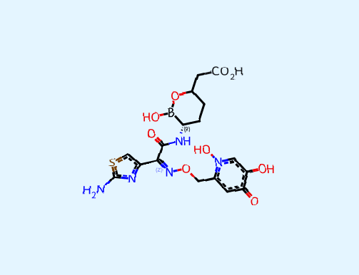 Nc1nc(/C(=N/OCc2cc(=O)c(O)cn2O)C(=O)N[C@H]2CCC(CC(=O)O)OB2O)cs1